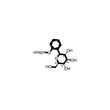 CCCCCCCOc1ccccc1[C]1O[C@H](CO)[C@@H](O)[C@H](O)[C@H]1O